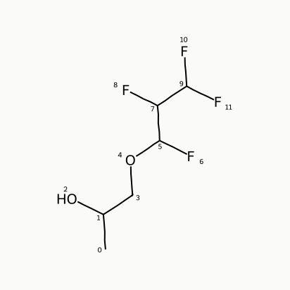 CC(O)COC(F)C(F)C(F)F